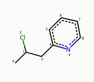 CC(Cl)Cc1ccccn1